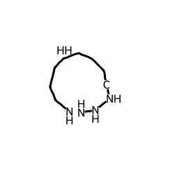 C1CCCCNNNNCCC1.[HH]